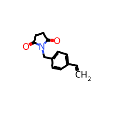 C=Cc1ccc(CN2C(=O)CCC2=O)cc1